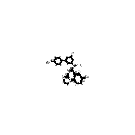 CN(c1cc(F)cc(-c2ccc(C(C)(C)C)cc2)c1)c1nc2nncn2c2ccc(F)cc12